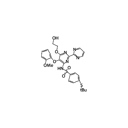 COc1ccccc1Oc1c(NS(=O)(=O)c2ccc(SC(C)(C)C)cc2)nc(-c2ncccn2)nc1OCCO